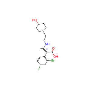 C/C(NCCC1CCC(O)CC1)=C(/C(=O)O)c1ccc(F)cc1Br